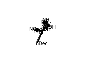 CCCCCCCCCCCCCCCCCCOCC(COP(=O)(O)OC[C@@]1(C)O[C@@H](c2ccc3c(N)ncnn23)C[C@@H]1O)OCc1ccc(C#N)nc1